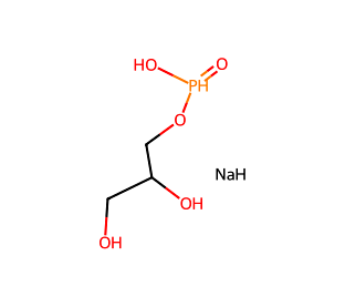 O=[PH](O)OCC(O)CO.[NaH]